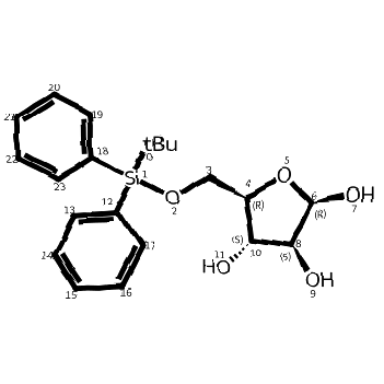 CC(C)(C)[Si](OC[C@H]1O[C@@H](O)[C@@H](O)[C@@H]1O)(c1ccccc1)c1ccccc1